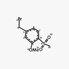 COc1cc(CBr)ccc1S(C)(=O)=O